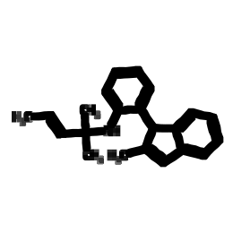 CC=CC(C)(C)Nc1ccccc1C1C(C)=Cc2ccccc21